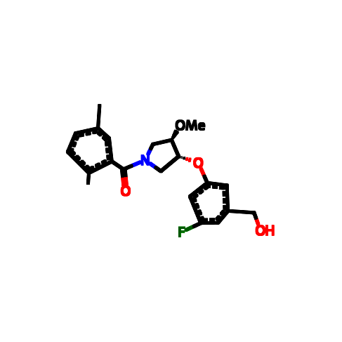 CO[C@@H]1CN(C(=O)c2cc(C)ccc2C)C[C@H]1Oc1cc(F)cc(CO)c1